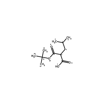 CC(C)CC(C(=O)O)C(=O)OC(C)(C)C